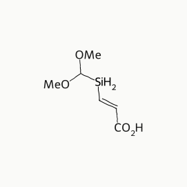 COC(OC)[SiH2]C=CC(=O)O